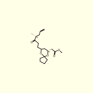 C=CC[C@@H](C)C(=O)CCC1C[C@H](CC(=O)OC)OC2(CCCC2)O1